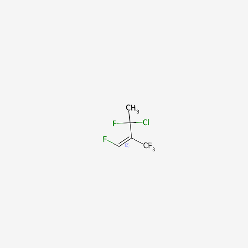 CC(F)(Cl)/C(=C\F)C(F)(F)F